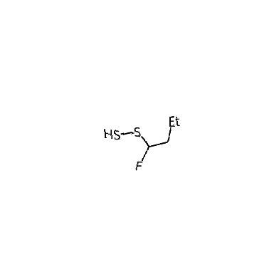 CCCC(F)SS